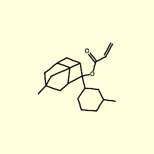 C=CC(=O)OC1(C2CCCC(C)C2)C2CC3CC1CC(C)(C3)C2